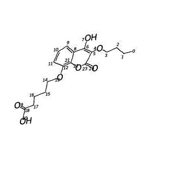 CCCCOc1c(O)c2cccc(OCCCCC(=O)O)c2oc1=O